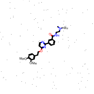 CCCCN(C)CCNC(=O)c1cccc(-c2nccc(OCCc3ccc(OC)c(OC)c3)n2)c1